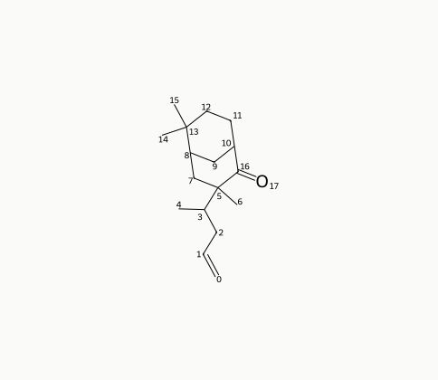 C=CCC(C)C1(C)CC2CC(CCC2(C)C)C1=O